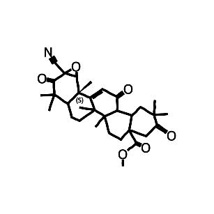 COC(=O)C12CCC3(C)C(C(=O)C=C4C3(C)CCC3C(C)(C)C(=O)C5(C#N)OC5[C@]43C)C1CC(C)(C)C(=O)C2